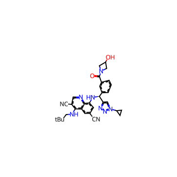 CC(C)(C)CNc1c(C#N)cnc2c(N[C@@H](c3cccc(C(=O)N4CC(O)C4)c3)c3cn(C4CC4)nn3)cc(C#N)cc12